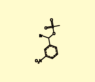 CS(=O)(=O)OC(Br)c1cccc([N+](=O)[O-])c1